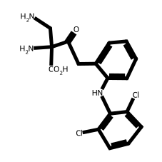 NCC(N)(C(=O)O)C(=O)Cc1ccccc1Nc1c(Cl)cccc1Cl